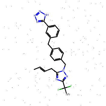 CC=CCc1nc(C(F)(F)CCC)nn1Cc1ccc(Cc2cccc(-c3nnn[nH]3)c2)cc1